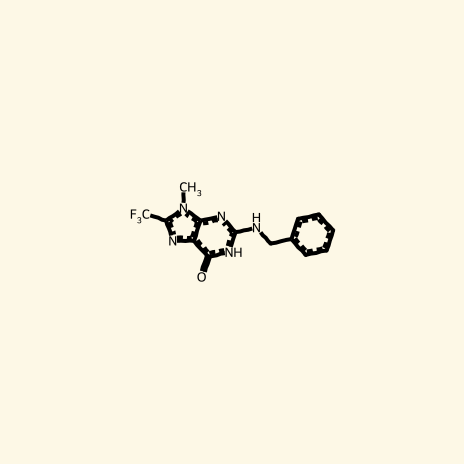 Cn1c(C(F)(F)F)nc2c(=O)[nH]c(NCc3ccccc3)nc21